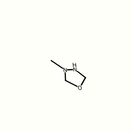 CN1COCN1